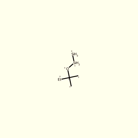 CCC(C)(C)O[SiH2][SiH3]